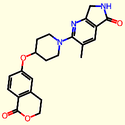 Cc1cc2c(nc1N1CCC(Oc3ccc4c(c3)CCOC4=O)CC1)CNC2=O